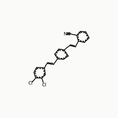 N#Cc1ccccc1C=Cc1ccc(C=Cc2ccc(Cl)c(Cl)c2)cc1